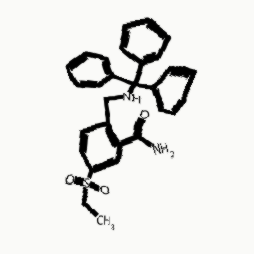 CCS(=O)(=O)c1ccc(CNC(c2ccccc2)(c2ccccc2)c2ccccc2)c(C(N)=O)c1